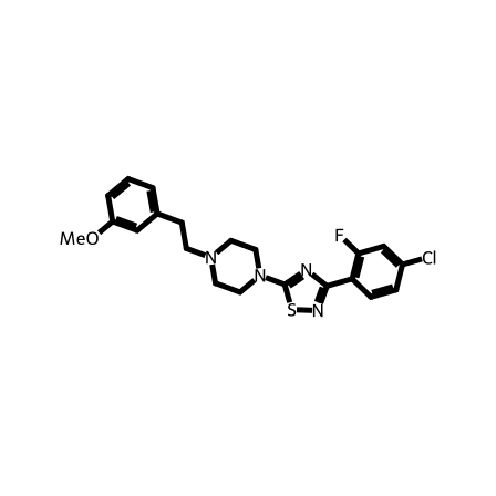 COc1cccc(CCN2CCN(c3nc(-c4ccc(Cl)cc4F)ns3)CC2)c1